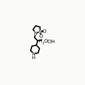 CC(CN1CCCS1(=O)=O)C1CCNCC1.Cl.O